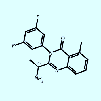 Cc1cccc2nc([C@H](C)N)n(-c3cc(F)cc(F)c3)c(=O)c12